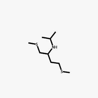 CSCCC(CSC)NC(C)C